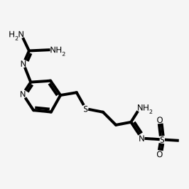 CS(=O)(=O)/N=C(\N)CCSCc1ccnc(N=C(N)N)c1